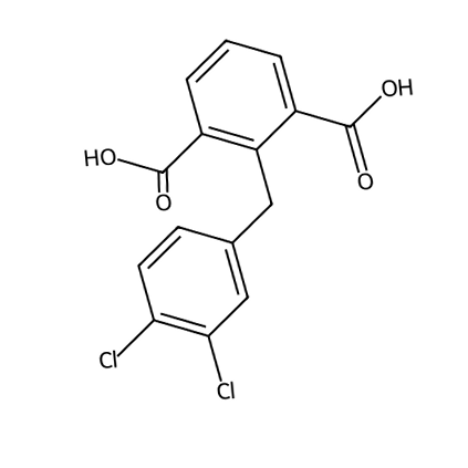 O=C(O)c1cccc(C(=O)O)c1Cc1ccc(Cl)c(Cl)c1